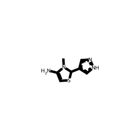 CN1C(N)=CSC1c1cn[nH]c1